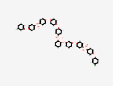 O=S(=O)(c1ccc(Oc2ccc(Oc3ccc(S(=O)(=O)c4ccccc4Oc4cccc(Oc5ccc(S(=O)(=O)c6ccc(Oc7ccc(Br)cc7)cc6)cc5)c4)cc3)cc2)cc1)c1ccc(Oc2cccc(Br)c2)cc1